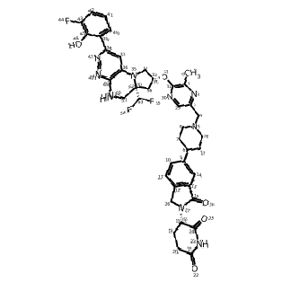 Cc1nc(CN2CCC(c3ccc4c(c3)C(=O)N([C@H]3CCC(=O)NC3=O)C4)CC2)cnc1O[C@H]1CN2c3cc(-c4cccc(F)c4O)nnc3NC[C@]2(C(F)F)C1